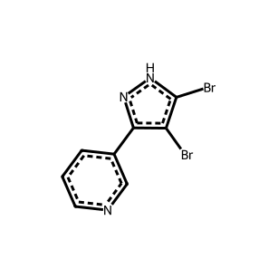 Brc1[nH]nc(-c2cccnc2)c1Br